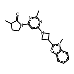 Cc1nc(N2CC(c3nc4ccccc4n3C)C2)cc(N2CCC(C)C2=O)n1